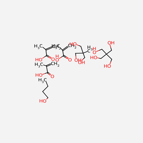 C=C(C)C(=O)O.C=C(C)C(=O)O.C=C(C)C(=O)O.CC(CO)(CO)CO.CCCCO.OCC(CO)(CO)CO